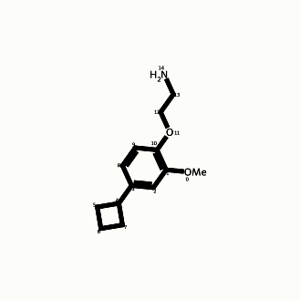 COc1cc(C2CCC2)ccc1OCCN